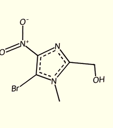 Cn1c(CO)nc([N+](=O)[O-])c1Br